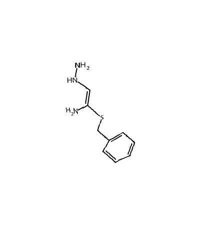 NN/C=C(\N)SCc1ccccc1